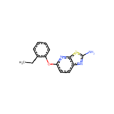 CCc1ccccc1Oc1ccc2nc(N)sc2n1